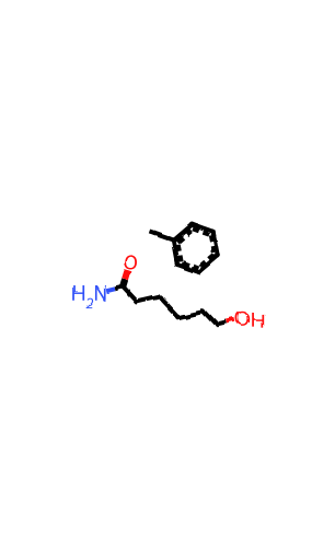 Cc1ccccc1.NC(=O)CCCCCO